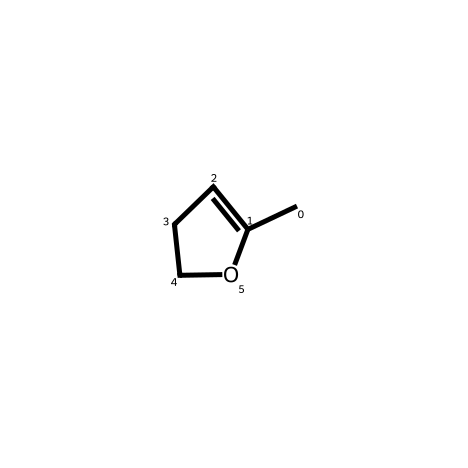 CC1=CCCO1